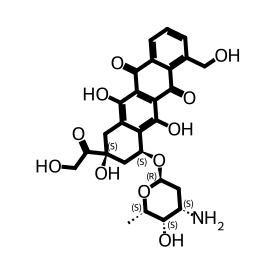 C[C@@H]1O[C@@H](O[C@H]2C[C@](O)(C(=O)CO)Cc3c(O)c4c(c(O)c32)C(=O)c2c(CO)cccc2C4=O)C[C@H](N)[C@@H]1O